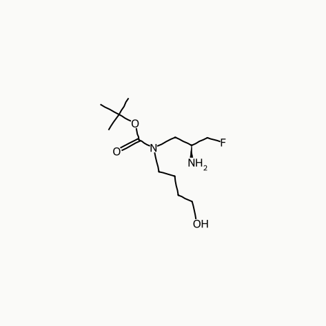 CC(C)(C)OC(=O)N(CCCCO)C[C@H](N)CF